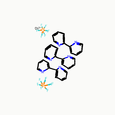 F[P-](F)(F)(F)(F)F.F[P-](F)(F)(F)(F)F.[Os+2].c1ccc(-c2ccccn2)nc1.c1ccc(-c2ccccn2)nc1.c1ccc(-c2ccccn2)nc1